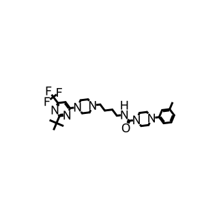 Cc1cccc(N2CCN(C(=O)NCCCCN3CCN(c4cc(C(F)(F)F)nc(C(C)(C)C)n4)CC3)CC2)c1